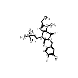 CCc1nc2c(c(=O)n(Cc3ccc(Cl)c(Cl)c3)c(=O)n2CC[Si](C)(C)C)n1C